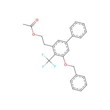 CC(=O)OCCc1cc(-c2ccccc2)cc(OCc2ccccc2)c1C(F)(F)F